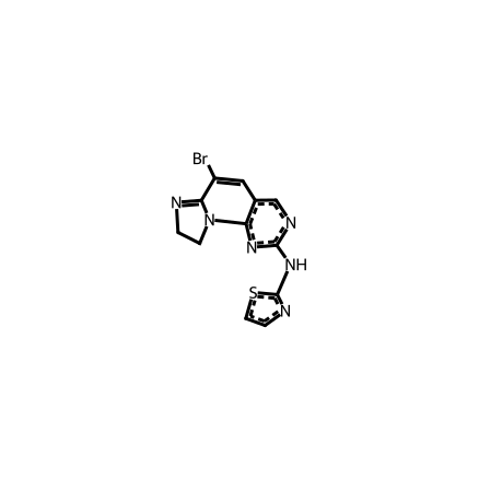 BrC1=Cc2cnc(Nc3nccs3)nc2N2CCN=C12